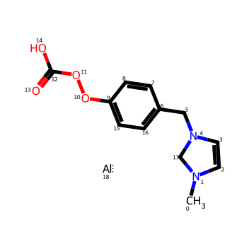 CN1C=CN(Cc2ccc(OOC(=O)O)cc2)C1.[Al]